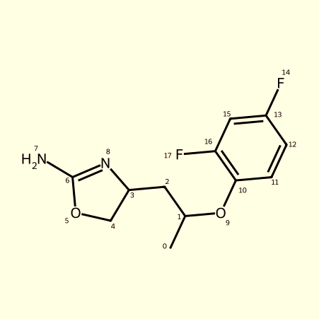 CC(CC1COC(N)=N1)Oc1ccc(F)cc1F